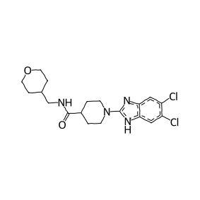 O=C(NCC1CCOCC1)C1CCN(c2nc3cc(Cl)c(Cl)cc3[nH]2)CC1